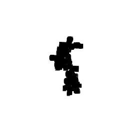 CC1=C(C)C(=O)C(C(C)(C)CC(=O)Nc2ccc3c(c2)Oc2cc(NC(=O)OC(C)(C)C)ccc2C32OC(=O)c3ccccc32)=C(C)C1=O